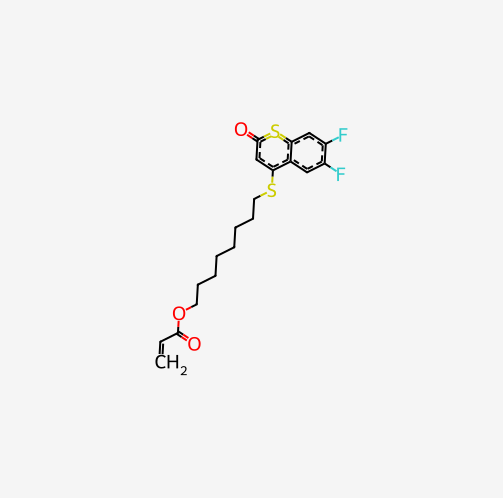 C=CC(=O)OCCCCCCCCSc1cc(=O)sc2cc(F)c(F)cc12